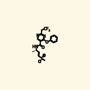 C[C@@H](/C=C/S(C)(=O)=O)NC(=O)c1cnc(CC(F)(F)F)nc1Oc1ccccc1